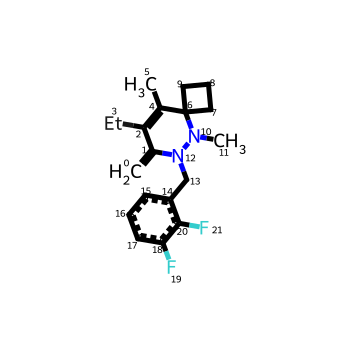 C=C1C(CC)=C(C)C2(CCC2)N(C)N1Cc1cccc(F)c1F